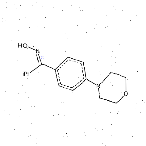 CC(C)/C(=N\O)c1ccc(N2CCOCC2)cc1